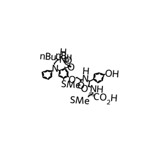 CCCCC1(CCCC)CN(c2ccccc2)c2cc(SC)c(OCC(=O)NC(C(=O)N[C@@H](CSC)C(=O)O)c3ccc(O)cc3)cc2S(=O)(=O)N1